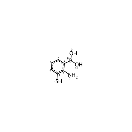 Nc1c(S)cccc1B(O)O